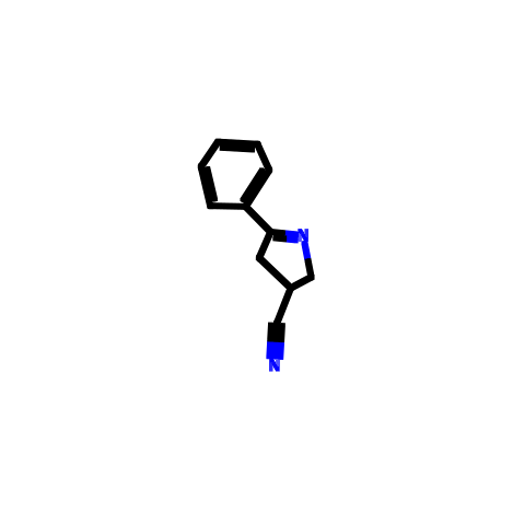 N#CC1CN=C(c2ccccc2)C1